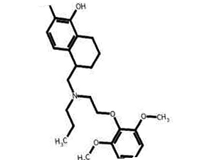 CCCN(CCOc1c(OC)cccc1OC)CC1CCCc2c1ccc(O)c2O